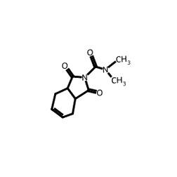 CN(C)C(=O)N1C(=O)C2CC=CCC2C1=O